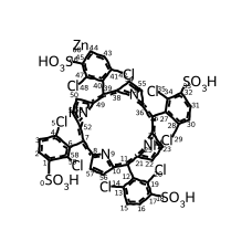 O=S(=O)(O)c1ccc(Cl)c(-c2c3nc(c(-c4c(Cl)ccc(S(=O)(=O)O)c4Cl)c4ccc([nH]4)c(-c4c(Cl)ccc(S(=O)(=O)O)c4Cl)c4nc(c(-c5c(Cl)ccc(S(=O)(=O)O)c5Cl)c5ccc2[nH]5)C=C4)C=C3)c1Cl.[Zn]